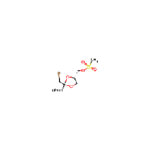 CCCCCC1(CBr)OC[C@@H](COS(C)(=O)=O)O1